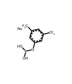 OB(O)Oc1cc(C(F)(F)F)cc(C(F)(F)F)c1.[Na]